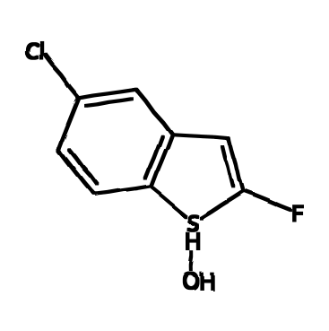 O[SH]1C(F)=Cc2cc(Cl)ccc21